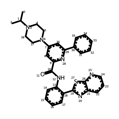 CC(C)N1CCN(c2cc(C(=O)Nc3ccccc3-c3nc4cccnc4s3)nc(-c3ccccc3)c2)CC1